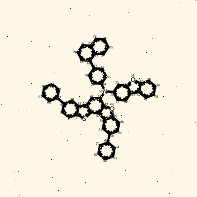 c1ccc(-c2ccc3sc4c(cc(N(c5ccc(-c6cccc7ccccc67)cc5)c5ccc6c(c5)oc5ccccc56)c5oc6ccc(-c7ccccc7)cc6c54)c3c2)cc1